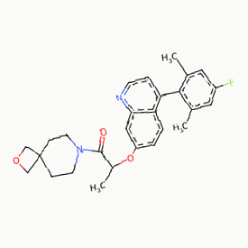 Cc1cc(F)cc(C)c1-c1ccnc2cc(OC(C)C(=O)N3CCC4(CC3)COC4)ccc12